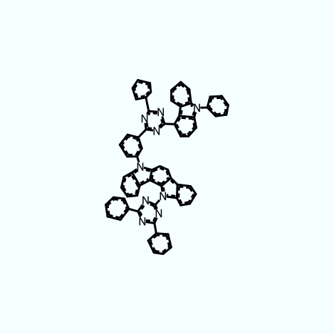 c1ccc(-c2nc(-c3cccc(-n4c5ccccc5c5c4ccc4c6ccccc6n(-c6nc(-c7ccccc7)nc(-c7ccccc7)n6)c45)c3)nc(-c3cccc4c3c3ccccc3n4-c3ccccc3)n2)cc1